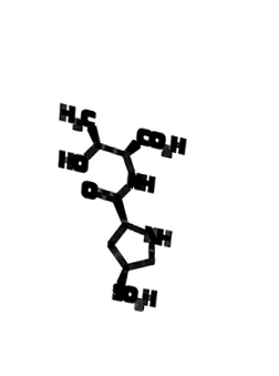 C[C@H](O)[C@H](NC(=O)[C@@H]1C[C@H](S(=O)(=O)O)CN1)C(=O)O